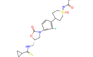 COC(=O)N=S1(=O)CCC(c2ccc(N3C[C@H](CNC(=S)C4CC4)OC3=O)cc2F)CC1